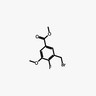 COC(=O)c1cc(CBr)c(F)c(OC)c1